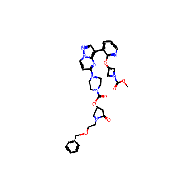 COC(=O)N1CC(Oc2ncccc2-c2cnn3ccc(N4CCN(C(=O)O[C@@H]5CC(=O)N(CCOCc6ccccc6)C5)CC4)nc23)C1